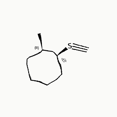 C#S[C@H]1CCCC[C@H]1C